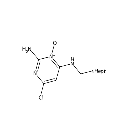 CCCCCCCCNc1cc(Cl)nc(N)[n+]1[O-]